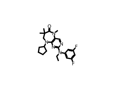 CCN(c1cc(F)cc(F)c1)c1ncc2c(n1)N(C1CCCC1)CC(C)(C)C(=O)N2C